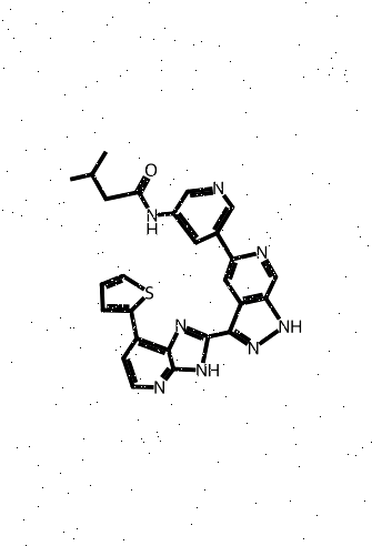 CC(C)CC(=O)Nc1cncc(-c2cc3c(-c4nc5c(-c6cccs6)ccnc5[nH]4)n[nH]c3cn2)c1